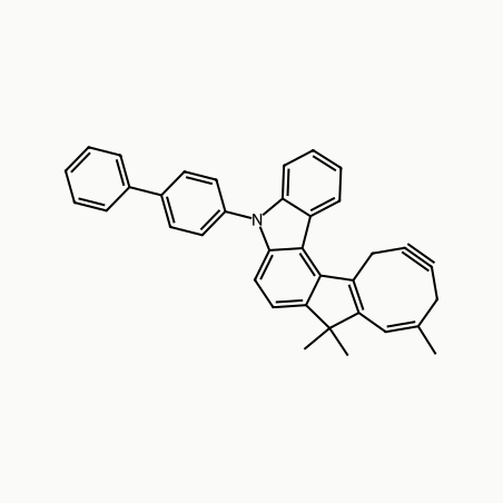 C/C1=C/C2=C(CC#CC1)c1c(ccc3c1c1ccccc1n3-c1ccc(-c3ccccc3)cc1)C2(C)C